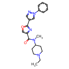 CCN1CCC(N(C)C(=O)c2coc(-c3cnn(-c4ccccc4)c3)n2)CC1